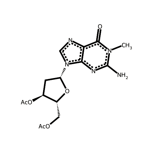 CC(=O)OC[C@H]1O[C@@H](n2cnc3c(=O)n(C)c(N)nc32)C[C@@H]1OC(C)=O